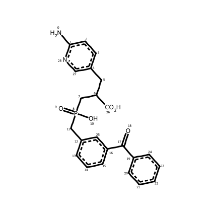 Nc1ccc(CC(CP(=O)(O)Cc2cccc(C(=O)c3ccccc3)c2)C(=O)O)cn1